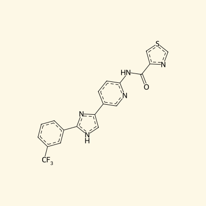 O=C(Nc1ccc(-c2c[nH]c(-c3cccc(C(F)(F)F)c3)n2)cn1)c1cscn1